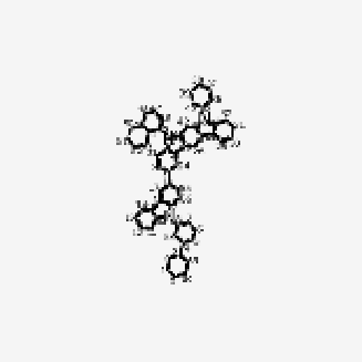 c1ccc(-c2cccc(-n3c4ccccc4c4cc(-c5ccc6c(c5)c5cc7c8ccccc8n(-c8ccccc8)c7cc5n6-c5cccc6ccccc56)ccc43)c2)cc1